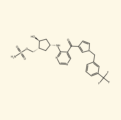 NS(=O)(=O)OC[C@H]1C[C@@H](Nc2ncncc2C(=O)c2ccn(Cc3cccc(C(F)(F)F)c3)c2)C[C@@H]1O